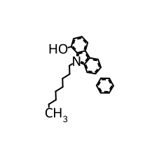 CCCCCCCCn1c2ccccc2c2cccc(O)c21.c1ccccc1